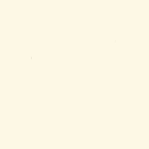 CCCC1CCC(c2ccsc2-c2ccc(F)cc2)CC1